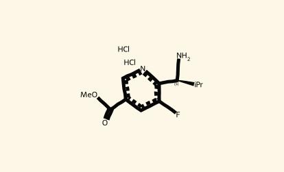 COC(=O)c1cnc([C@@H](N)C(C)C)c(F)c1.Cl.Cl